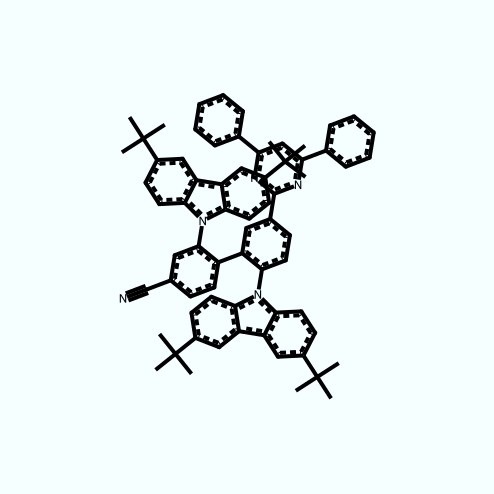 CC(C)(C)c1ccc2c(c1)c1cc(C(C)(C)C)ccc1n2-c1ccc(-c2nc(-c3ccccc3)cc(-c3ccccc3)n2)cc1-c1ccc(C#N)cc1-n1c2ccc(C(C)(C)C)cc2c2cc(C(C)(C)C)ccc21